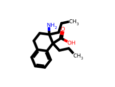 CCCC1(N)CCc2ccccc2C1(CCC)C(=O)O